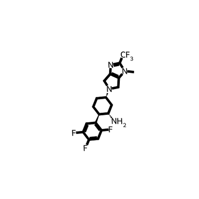 Cn1c(C(F)(F)F)nc2c1CN([C@H]1CC[C@H](c3cc(F)c(F)cc3F)[C@@H](N)C1)C2